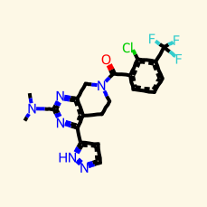 CN(C)c1nc2c(c(-c3ccn[nH]3)n1)CCN(C(=O)c1cccc(C(F)(F)F)c1Cl)C2